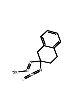 CC(C)(C)N=NC1(N=C=O)CCc2ccccc2C1